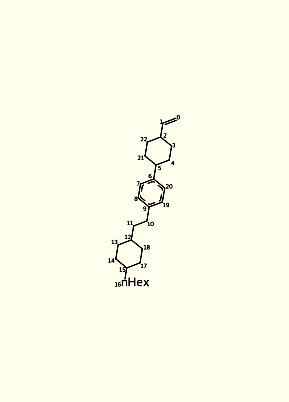 C=CC1CCC(c2ccc(CCC3CCC(CCCCCC)CC3)cc2)CC1